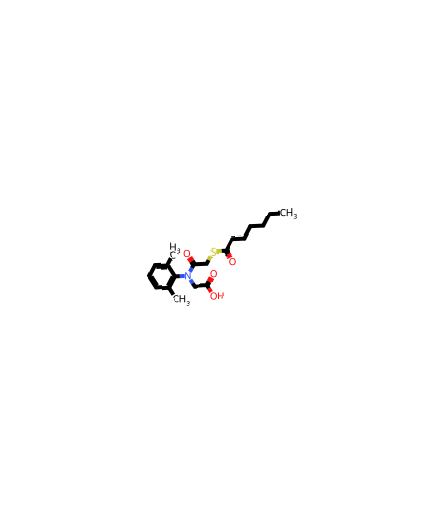 CCCCCCC(=O)SCC(=O)N(CC(=O)O)c1c(C)cccc1C